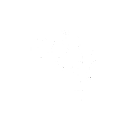 CC(C)(F)c1ccn2c(-c3ccnc(-c4ccccc4C#N)n3)cnc2n1